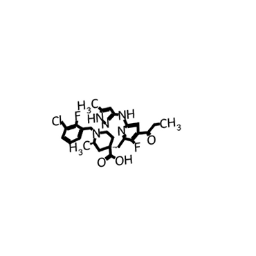 CCC(=O)c1cc(Nc2cc(C)[nH]n2)nc(C[C@@]2(C(=O)O)CCN(Cc3cccc(Cl)c3F)[C@H](C)C2)c1F